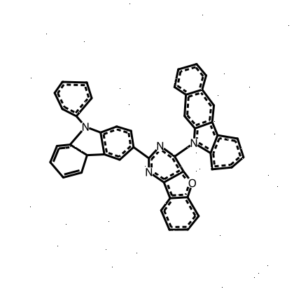 C1=CC=CC2C=1N(c1ccccc1)c1ccc(-c3nc(-n4c5ccccc5c5cc6ccccc6cc54)c4oc5ccccc5c4n3)cc12